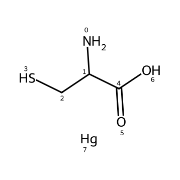 NC(CS)C(=O)O.[Hg]